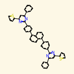 c1ccc(-c2cc(-c3cccs3)nc(-c3ccc(-c4cccc5c(-c6ccc(-c7nc(-c8ccccc8)cc(-c8cccs8)n7)cc6)cccc45)cc3)n2)cc1